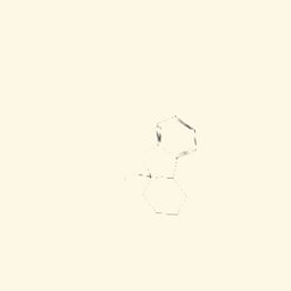 CC12CCCCC1c1ccccc1S2